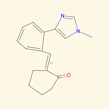 Cn1cnc(-c2ccccc2/C=C2\CCCCC2=O)c1